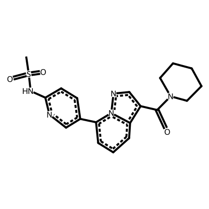 CS(=O)(=O)Nc1ccc(-c2cccc3c(C(=O)N4CCCCC4)cnn23)cn1